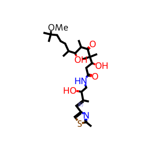 COC(C)(C)CCCC(C)C(O)C(C)C(=O)C(C)(C)C(O)CC(=O)NCC(O)/C(C)=C/c1csc(C)n1